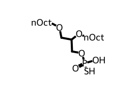 CCCCCCCCOCC(COP(=O)(O)S)OCCCCCCCC